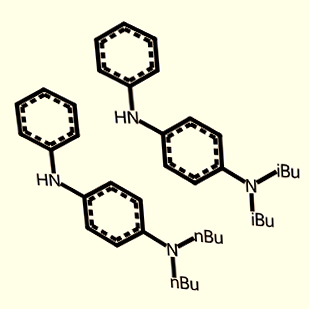 CCC(C)N(c1ccc(Nc2ccccc2)cc1)C(C)CC.CCCCN(CCCC)c1ccc(Nc2ccccc2)cc1